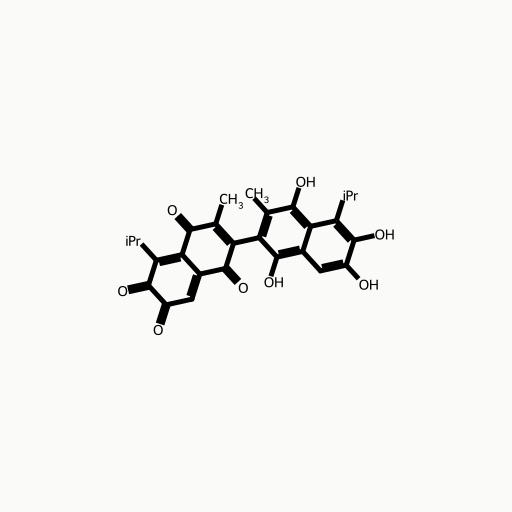 Cc1c(-c2c(C)c(=O)c3c(C(C)C)c(=O)c(=O)cc-3c2=O)c(O)c2cc(O)c(O)c(C(C)C)c2c1O